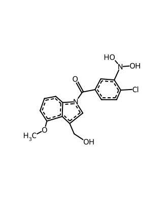 COc1cccc2c1c(CO)cn2C(=O)c1ccc(Cl)c(N(O)O)c1